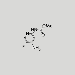 COC(=O)Nc1cc(N)c(F)cn1